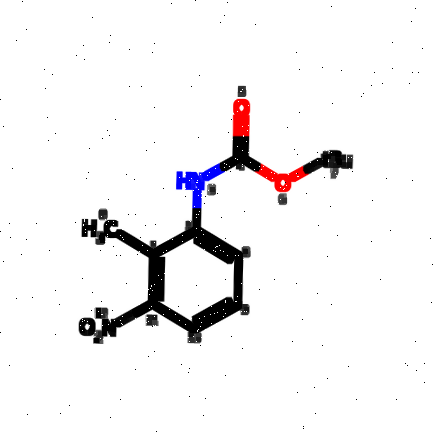 Cc1c(NC(=O)OC(C)(C)C)cccc1[N+](=O)[O-]